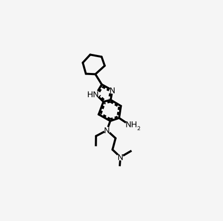 CCN(CCN(C)C)c1cc2[nH]c(C3CCCCC3)nc2cc1N